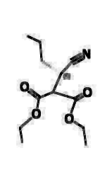 CCC[C@H](C#N)C(C(=O)OCC)C(=O)OCC